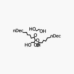 CCCCCCCCCCCCCCCC(=O)OC(C(=O)CCCCCCCCCCCCCCC)C(O)CO.OCCO